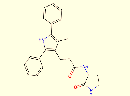 Cc1c(-c2ccccc2)[nH]c(-c2ccccc2)c1CCC(=O)NC1CCNC1=O